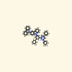 c1ccc(-c2cc(-c3nc(-c4ccccc4)cc(-c4ccccc4)n3)cc(-n3c4ccccc4c4cc(-n5c6ccccc6c6ccccc65)ccc43)c2)cc1